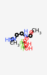 CCOc1cccc(C(=O)NCc2cccc(-c3cccc(CN4CCNC(C)C4)c3)c2)c1.O=C(O)C(F)(F)F.O=C(O)C(F)(F)F